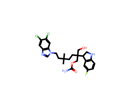 CC(C)(CCn1cnc2cc(Cl)c(Cl)cc21)CCC(CO)(COC(N)=O)C1CNc2ccc(F)cc21